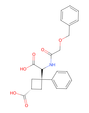 O=C(COCc1ccccc1)NC(C(=O)O)[C@]1(c2ccccc2)C[C@@H](C(=O)O)C1